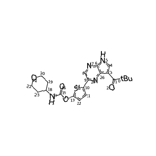 CC(C)(C)C(=O)c1c[nH]c2ncc(-c3ccc(OC(=O)NC4CCOCC4)s3)nc12